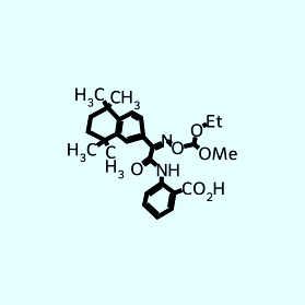 CCOC(OC)ON=C(C(=O)Nc1ccccc1C(=O)O)c1ccc2c(c1)C(C)(C)CCC2(C)C